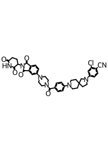 N#Cc1ccc(N2CCC3(CCN(c4ccc(C(=O)N5CCN(c6ccc7c(c6)C(=O)N(C6CCC(=O)NC6=O)C7=O)CC5)cc4)CC3)C2)cc1Cl